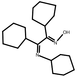 ON=C(C(=NC1CCCCC1)C1CCCCC1)C1CCCCC1